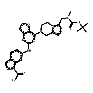 CN(Cc1ncc2n1CCN(c1nc(Nc3ccc4cnn(C(=O)O)c4c3)nc3ccoc13)C2)C(=O)OC(C)(C)C